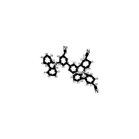 N#Cc1cc(-c2cccc(-c3cc(C#N)ccc3-n3c4ccccc4c4cc(C#N)ccc43)c2)cc(-n2c3ccccc3c3ccccc32)c1